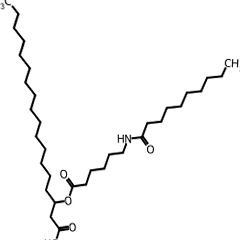 CCCCCCCCCCCCCCCC(CC(=O)O)OC(=O)CCCCCNC(=O)CCCCCCCCC